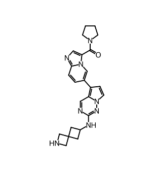 O=C(c1cnc2ccc(-c3ccn4nc(NC5CC6(CNC6)C5)ncc34)cn12)N1CCCC1